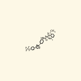 CCc1ccccc1N/C(N)=N/C(=O)Nc1ccc(-c2ncn(-c3ccc(OC(F)(F)F)cc3)n2)cc1